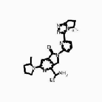 CCC(N)c1nc(N2CCCC2C)cc2c1CN(c1cccc(-c3nnc4n3[C@@H](C)CC4)n1)C2=O